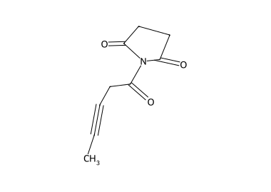 CC#CCC(=O)N1C(=O)CCC1=O